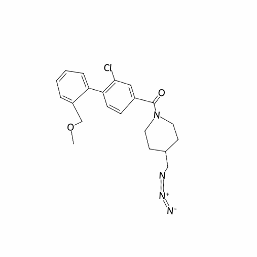 COCc1ccccc1-c1ccc(C(=O)N2CCC(CN=[N+]=[N-])CC2)cc1Cl